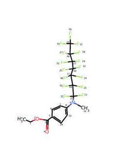 CCOC(=O)c1ccc(N(C)C(F)(F)C(F)(F)C(F)(F)C(F)(F)C(F)(F)C(F)(F)C(F)(F)F)cc1